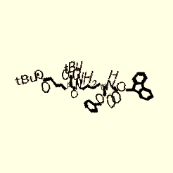 CC(C)(C)OC(=O)CCCC[C@H](C(=O)OC(C)(C)C)C(=O)N(N)CCCC[C@H](NC(=O)OCC1c2ccccc2-c2ccccc21)C(=O)OCc1ccccc1